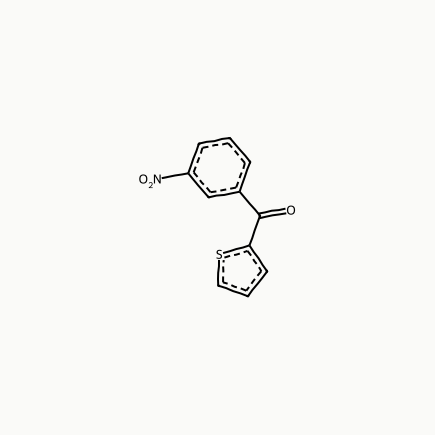 O=C(c1cccc([N+](=O)[O-])c1)c1cccs1